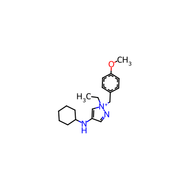 CC[N+]1(Cc2ccc(OC)cc2)C=C(NC2CCCCC2)C=N1